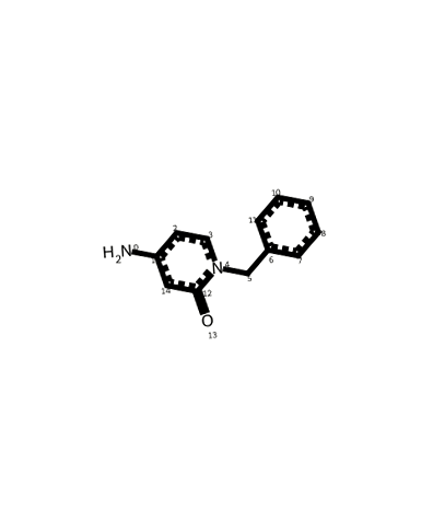 Nc1ccn(Cc2ccccc2)c(=O)c1